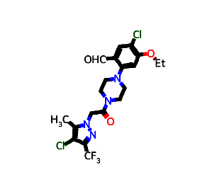 CCOc1cc(N2CCN(C(=O)Cn3nc(C(F)(F)F)c(Cl)c3C)CC2)c(C=O)cc1Cl